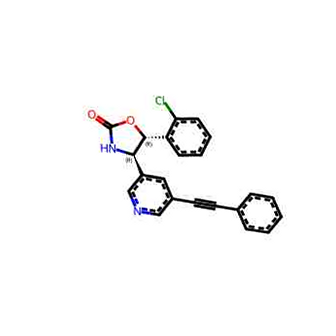 O=C1N[C@H](c2cncc(C#Cc3ccccc3)c2)[C@@H](c2ccccc2Cl)O1